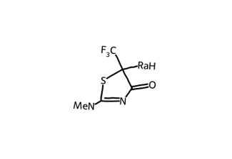 CNC1=NC(=O)[C]([RaH])(C(F)(F)F)S1